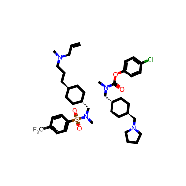 C=CCN(C)CCC[C@H]1CC[C@H](CN(C)S(=O)(=O)c2ccc(C(F)(F)F)cc2)CC1.CN(C[C@H]1CC[C@H](CN2CCCC2)CC1)C(=O)Oc1ccc(Cl)cc1